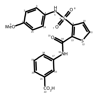 COc1ccc(NS(=O)(=O)c2ccsc2C(=O)Nc2cccc(C(=O)O)c2)cc1